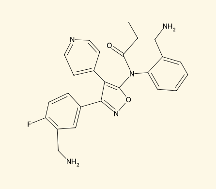 CCC(=O)N(c1ccccc1CN)c1onc(-c2ccc(F)c(CN)c2)c1-c1ccncc1